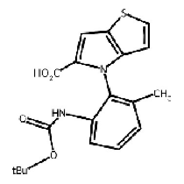 Cc1cccc(NC(=O)OC(C)(C)C)c1-n1c(C(=O)O)cc2sccc21